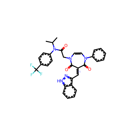 CC(C)N(C(=O)CN1C=CN(c2ccccc2)C(=O)/C(=C/c2n[nH]c3ccccc23)C1=O)c1ccc(C(F)(F)F)cc1